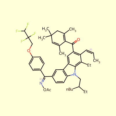 C/C=C\c1c(C(=O)C2=C(C)CC(C)(C)C=C2C)cc2c3cc(/C(=N\OC(C)=O)c4ccc(OCC(F)(F)C(F)F)cc4)ccc3n(CC(CC)CCCC)c2c1CC